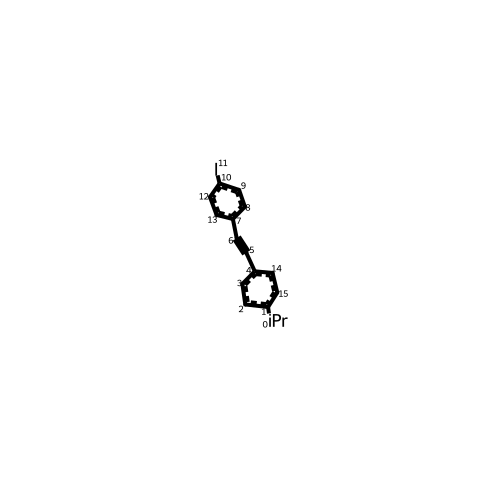 CC(C)c1ccc(C#Cc2ccc(I)cc2)cc1